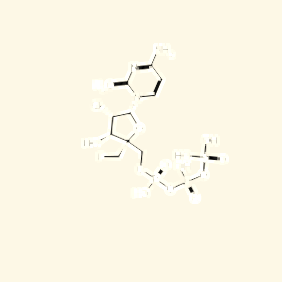 C=C1N=C(N)C=CN1[C@@H]1O[C@](CF)(COP(=O)(O)OP(=O)(O)OP(=O)(O)O)[C@@H](O)[C@@H]1Cl